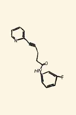 O=C(CCC#Cc1ccccn1)Nc1cccc(F)c1